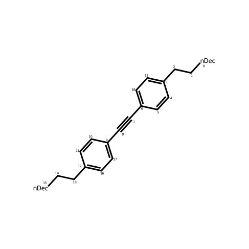 CCCCCCCCCCCCc1ccc(C#Cc2ccc(CCCCCCCCCCCC)cc2)cc1